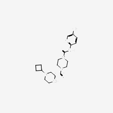 O=C(Nc1ccc(C(F)(F)F)cn1)N1CCN(C(=O)[C@H]2CN(C3CCC3)CCN2)CC1